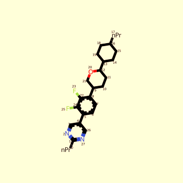 CCCc1ncc(-c2ccc(C3CCC(C4CCC(CCC)CC4)OC3)c(F)c2F)cn1